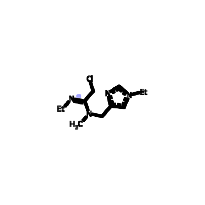 CC/N=C(/CCl)N(C)Cc1cn(CC)cn1